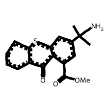 COC(=O)c1cc(C(C)(C)N)cc2sc3ccccc3c(=O)c12